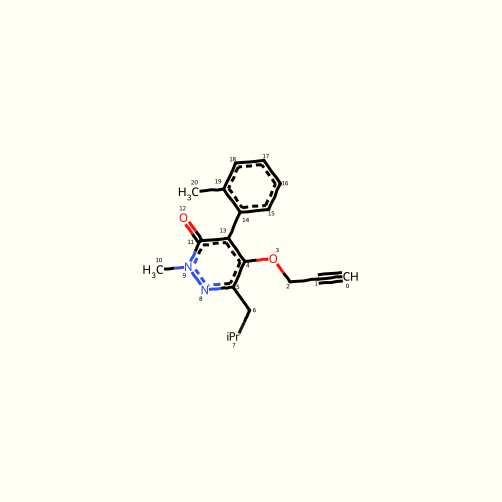 C#CCOc1c(CC(C)C)nn(C)c(=O)c1-c1ccccc1C